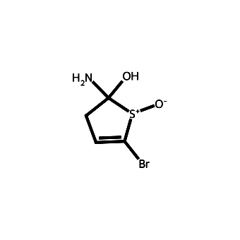 NC1(O)CC=C(Br)[S+]1[O-]